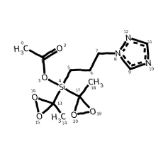 CC(=O)O[Si](CCCn1cncn1)(C1(C)OO1)C1(C)OO1